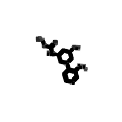 CC(C)(C)OC(=O)N[C@H]1C[C@@H](O)CN(c2ccncc2N)C1